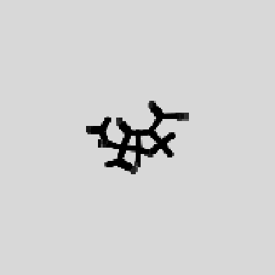 CC(=O)N[C@@]1(C(C)=O)C(=O)N2[C@@H](C(=O)O)C(C)(C)S[C@@H]21